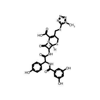 Cn1nnnc1SCC1=C(C(=O)O)N2C(=O)C(NC(=O)C(NC(=O)c3cc(O)cc(O)c3)c3ccc(O)cc3)[C@@H]2SC1